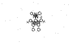 CC(C)(C)c1cccc(N2c3ccc(-c4ccccc4)cc3B3c4cc(-c5ccccc5)ccc4N(c4cc(C(C)(C)C)cc(C(C)(C)C)c4)c4cc(-c5nc(-c6ccccc6)nc(-c6ccccc6)n5)cc2c43)c1